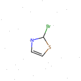 BrC1[N]C=CS1